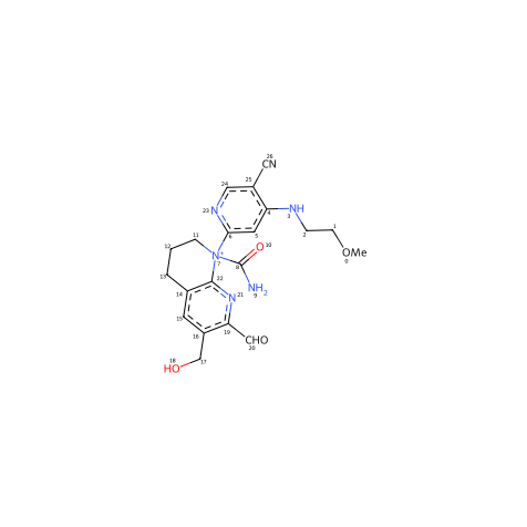 COCCNc1cc([N+]2(C(N)=O)CCCc3cc(CO)c(C=O)nc32)ncc1C#N